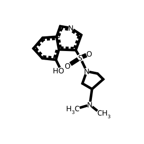 CN(C)C1CCN(S(=O)(=O)c2cncc3cccc(O)c23)C1